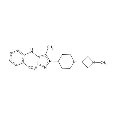 Cc1c(Nc2cnccc2C(=O)O)cnn1C1CCN(C2CN(C)C2)CC1